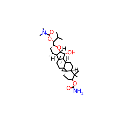 CC(C)[C@@H](OC(=O)N(C)C)[C@H]1C[C@@H](C)[C@H]2[C@H](O1)[C@H](O)[C@@]1(C)[C@@H]3CC[C@H]4C(C)(C)[C@@H](OC(N)=O)CC[C@@]45C[C@@]35CC[C@]21C